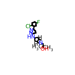 CC(C)(O)CN1C[C@H]2CC(Nc3ccc(-c4cc(F)ccc4Cl)nn3)C[C@H]2C1